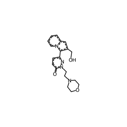 O=c1ccc(-c2c(CO)cc3ccccn23)nn1CCN1CCOCC1